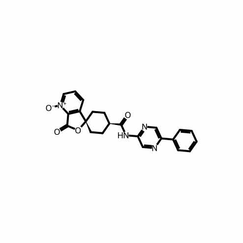 O=C1O[C@]2(CC[C@H](C(=O)Nc3cnc(-c4ccccc4)cn3)CC2)c2ccc[n+]([O-])c21